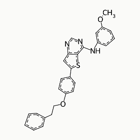 COc1cccc(Nc2ncnc3cc(-c4ccc(OCCc5ccccc5)cc4)sc23)c1